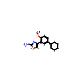 CCOc1ccc(C2CCCCC2)cc1-c1csc(N)n1